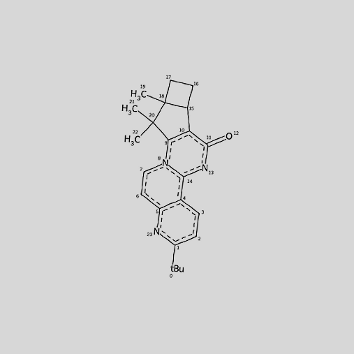 CC(C)(C)c1ccc2c(ccn3c4c(c(=O)nc23)C2CCC2(C)C4(C)C)n1